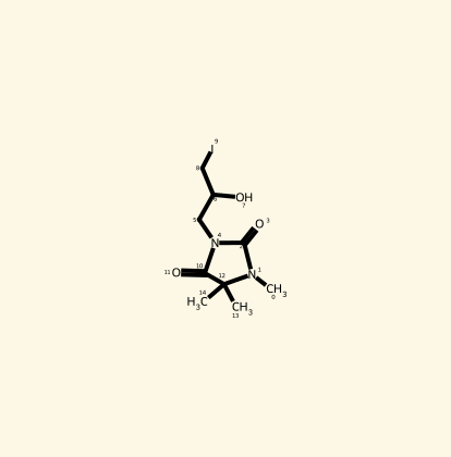 CN1C(=O)N(CC(O)CI)C(=O)C1(C)C